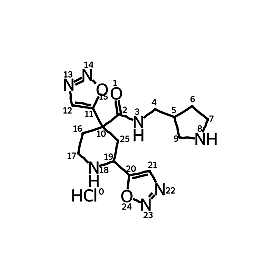 Cl.O=C(NCC1CCNC1)C1(c2cnno2)CCNC(c2cnno2)C1